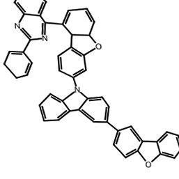 C1=CC2Oc3cc(-n4c5ccccc5c5cc(-c6ccc7oc8ccccc8c7c6)ccc54)ccc3C2C(c2nc(C3=CCCC=C3)nc3ccccc23)=C1